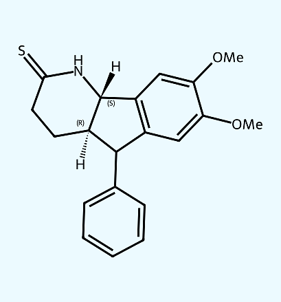 COc1cc2c(cc1OC)[C@H]1NC(=S)CC[C@@H]1C2c1ccccc1